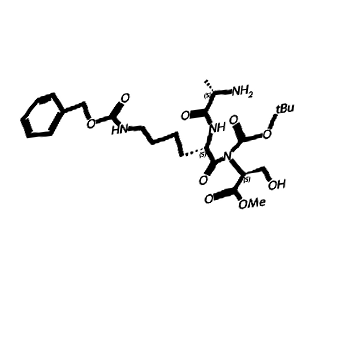 COC(=O)[C@H](CO)N(C(=O)OC(C)(C)C)C(=O)[C@H](CCCCNC(=O)OCc1ccccc1)NC(=O)[C@H](C)N